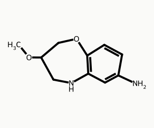 COC1CNc2cc(N)ccc2OC1